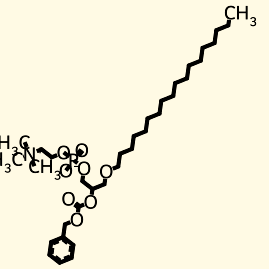 CCCCCCCCCCCCCCCCCCOCC(COP(=O)([O-])OCC[N+](C)(C)C)OC(=O)OCc1ccccc1